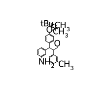 Cc1cccc(C2COc3cc(O[Si](C)(C)C(C)(C)C)ccc3C2c2cccc(N)c2)c1